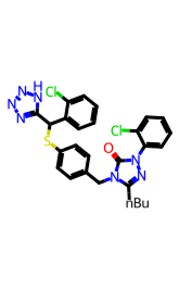 CCCCc1nn(-c2ccccc2Cl)c(=O)n1Cc1ccc(SC(c2nnn[nH]2)c2ccccc2Cl)cc1